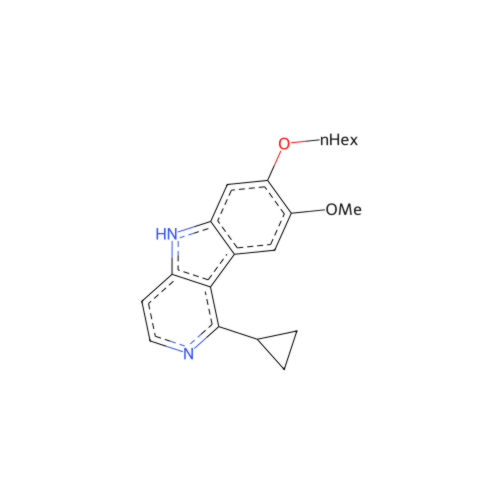 CC[CH]CCCOc1cc2[nH]c3ccnc(C4CC4)c3c2cc1OC